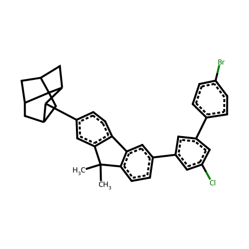 CC1(C)c2ccc(-c3cc(Cl)cc(-c4ccc(Br)cc4)c3)cc2-c2ccc(C3C4CC5CC6CC3C56C4)cc21